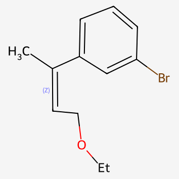 CCOC/C=C(/C)c1cccc(Br)c1